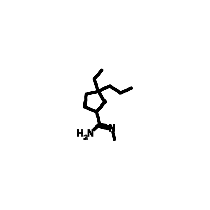 CCCC1(CC)CCC(/C(N)=N/C)C1